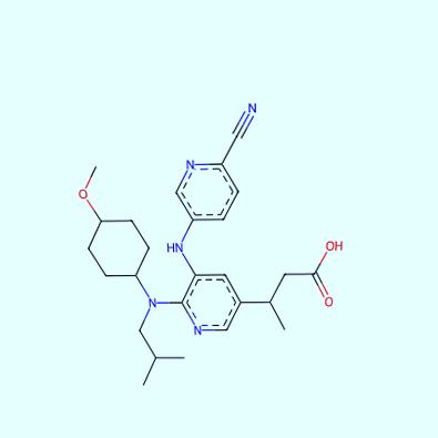 COC1CCC(N(CC(C)C)c2ncc(C(C)CC(=O)O)cc2Nc2ccc(C#N)nc2)CC1